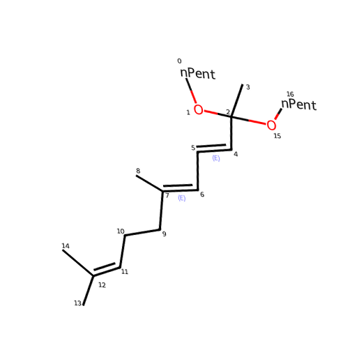 CCCCCOC(C)(/C=C/C=C(\C)CCC=C(C)C)OCCCCC